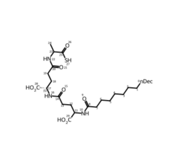 CCCCCCCCCCCCCCCCCC(=O)NC(CCC(=O)N[C@@H](CCC(=O)NC(C)C(=O)S)C(=O)O)C(=O)O